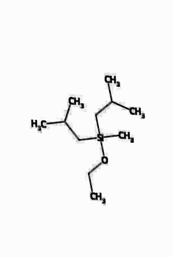 CCO[Si](C)(CC(C)C)CC(C)C